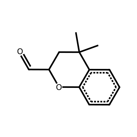 CC1(C)CC(C=O)Oc2ccccc21